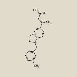 CC(=CC(=O)O)c1ccc2c(ccn2Cc2cccc(C)c2)c1